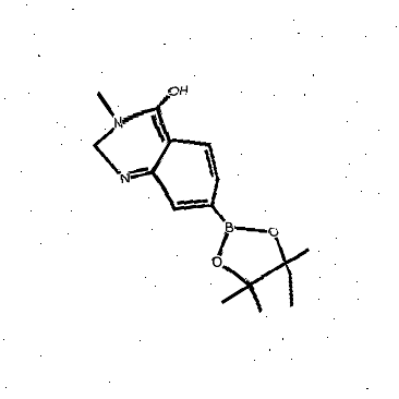 CN1CN=c2cc(B3OC(C)(C)C(C)(C)O3)ccc2=C1O